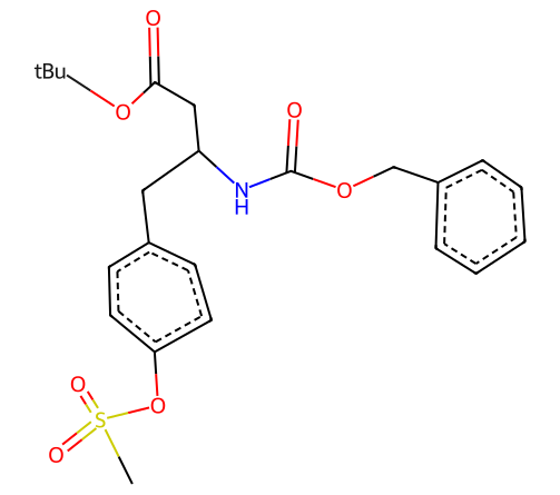 CC(C)(C)OC(=O)CC(Cc1ccc(OS(C)(=O)=O)cc1)NC(=O)OCc1ccccc1